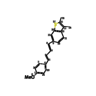 COc1ccc(/C=C/C=C/c2ccc3c(C)c(C)sc3c2)cc1